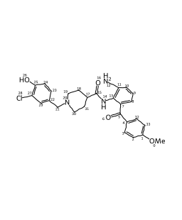 COc1ccc(C(=O)c2cccc(N)c2NC(=O)C2CCN(Cc3ccc(O)c(Cl)c3)CC2)cc1